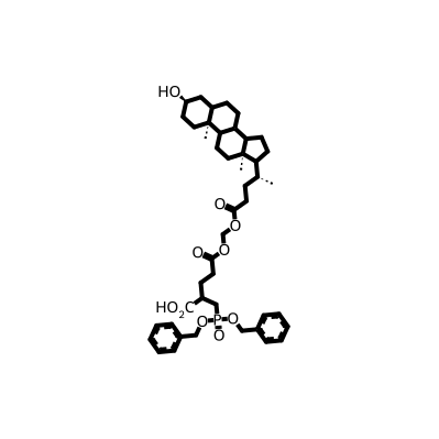 C[C@H](CCC(=O)OCOC(=O)CCC(CP(=O)(OCc1ccccc1)OCc1ccccc1)C(=O)O)C1CCC2C3CCC4C[C@H](O)CC[C@]4(C)C3CC[C@@]21C